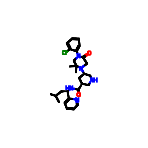 CC(C)C[C@@H](NC(=O)[C@@H]1CNC[C@H](N2CC(=O)N(c3ccccc3Cl)CC2(C)C)C1)c1ccccn1